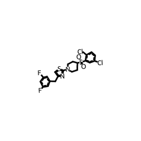 O=S(=O)(c1cc(Cl)ccc1Cl)C1CCN(c2nc(Cc3cc(F)cc(F)c3)cs2)CC1